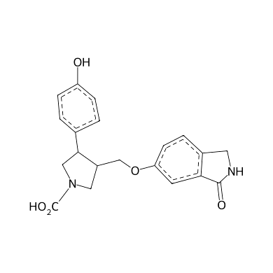 O=C1NCc2ccc(OCC3CN(C(=O)O)CC3c3ccc(O)cc3)cc21